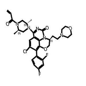 C=CC(=O)N1C[C@H](C)N(c2nc(=O)n3c4c(c(-c5ccc(F)cc5F)c(Cl)cc24)OC[C@@H]3CCN2CCOCC2)C[C@H]1C